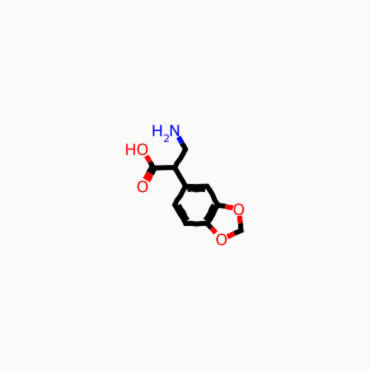 NCC(C(=O)O)c1ccc2c(c1)OCO2